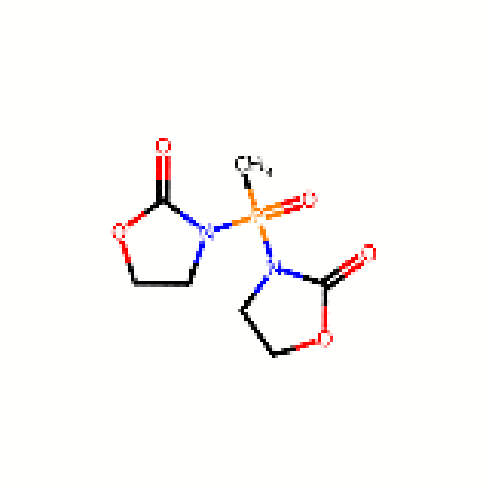 CP(=O)(N1CCOC1=O)N1CCOC1=O